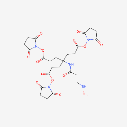 BNCCC(=O)NC(CCC(=O)ON1C(=O)CCC1=O)(CCC(=O)ON1C(=O)CCC1=O)CCC(=O)ON1C(=O)CCC1=O